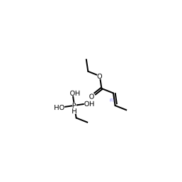 C/C=C/C(=O)OCC.CC[PH](O)(O)O